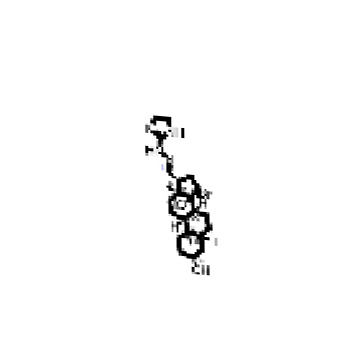 Br.C[C@]12CC[C@H](O)C[C@H]1CC[C@@H]1[C@@H]2CC[C@]2(C)[C@@H](/C=N/NC3=NCCN3)CC[C@]12O